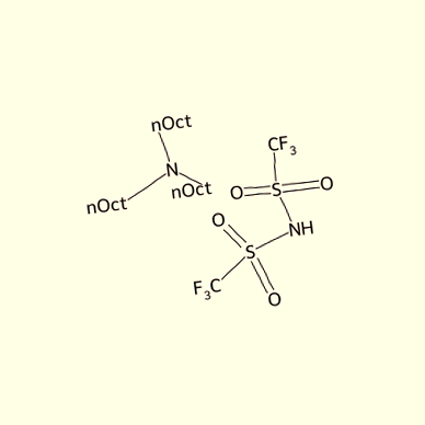 CCCCCCCCN(CCCCCCCC)CCCCCCCC.O=S(=O)(NS(=O)(=O)C(F)(F)F)C(F)(F)F